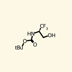 CC(C)(C)OC(=O)N[C@H](CO)C(F)(F)F